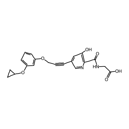 O=C(O)CNC(=O)c1ncc(C#CCOc2cccc(OC3CC3)c2)cc1O